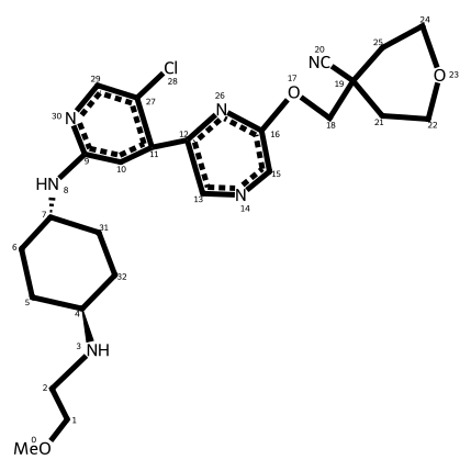 COCCN[C@H]1CC[C@H](Nc2cc(-c3cncc(OCC4(C#N)CCOCC4)n3)c(Cl)cn2)CC1